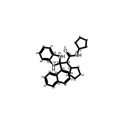 O=C(NC1CCCC1)C(C1CCCC1)C1(c2cccc3ccccc23)Nc2ccccc2N1